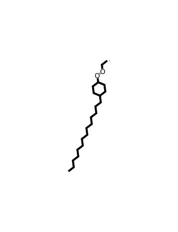 [CH2]COOC1CCC(CCCCCCCCCCCCCC)CC1